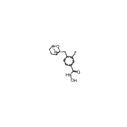 O=C(NO)c1ccc(CN2CC3CCC2CO3)c(F)c1